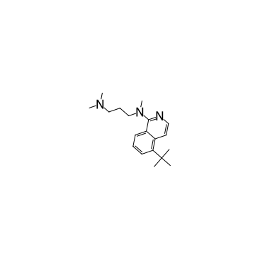 CN(C)CCCN(C)c1nccc2c(C(C)(C)C)cccc12